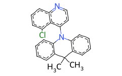 CC1(C)c2ccccc2N(c2ccnc3cccc(Cl)c23)c2ccccc21